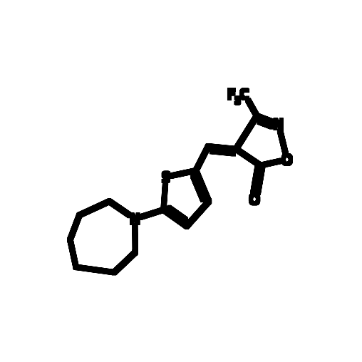 O=C1ON=C(C(F)(F)F)C1=Cc1ccc(N2CCCCCC2)s1